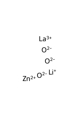 [La+3].[Li+].[O-2].[O-2].[O-2].[Zn+2]